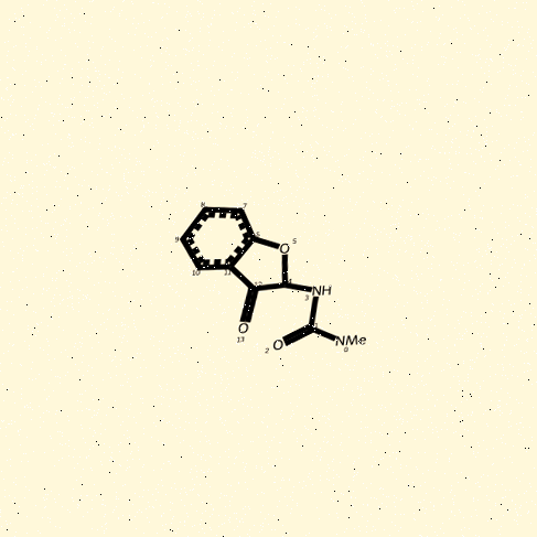 CNC(=O)NC1Oc2ccccc2C1=O